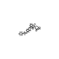 O=C1CC[C@H](N2C(=O)c3cccc(NCc4ccc(CN5CC(N6CCOCC6)C5)cc4F)c3C2=O)CC(=O)N1